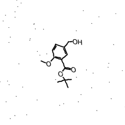 COc1ccc(CO)cc1C(=O)OC(C)(C)C